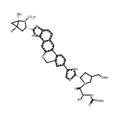 COCC1C[C@@H](c2ncc(-c3ccc4c(c3)COc3cc5c(ccc6nc([C@@H]7C[C@@H]8C[C@@]8(C(C)(C)C)N7C(=O)O)[nH]c65)cc3-4)[nH]2)N(C(=O)[C@@H](NC(=O)OC)C(C)C)C1